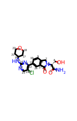 NC(=O)[C@@H](CO)N1Cc2ccc(-c3nc(NC4CCOCC4)ncc3Cl)cc2C1=O